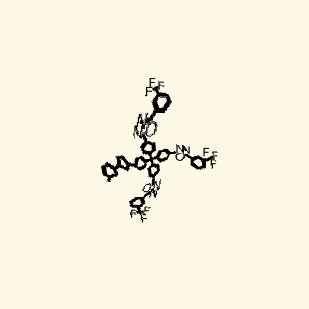 Cc1cccc(C2=CC=C(c3ccc(C(c4ccc(-c5nnc(-c6cccc(C(F)(F)F)c6)o5)cc4)(c4ccc(-c5nnc(-c6cccc(C(F)(F)F)c6)o5)cc4)c4ccc(-c5nnc(-c6cccc(C(F)(F)F)c6)o5)cc4)cc3)C2)c1